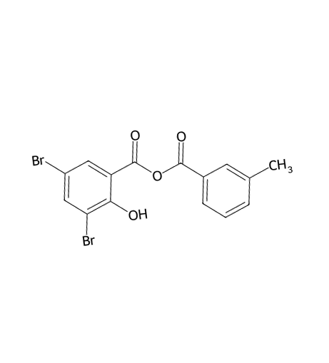 Cc1cccc(C(=O)OC(=O)c2cc(Br)cc(Br)c2O)c1